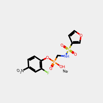 O=[N+]([O-])c1ccc(OP(=O)(O)CNS(=O)(=O)c2ccoc2)c(F)c1.[Na]